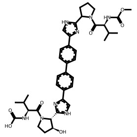 COC(=O)N[C@H](C(=O)N1CCCC1c1nc(-c2ccc(-c3ccc(-c4c[nH]c([C@@H]5[C@@H](O)CCN5C(=O)[C@@H](NC(=O)O)C(C)C)n4)cc3)cc2)c[nH]1)C(C)C